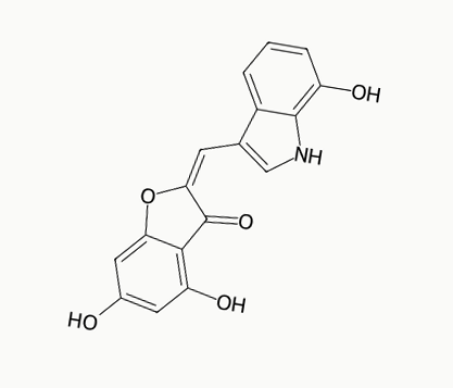 O=C1/C(=C\c2c[nH]c3c(O)cccc23)Oc2cc(O)cc(O)c21